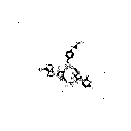 CC(C)OC(=O)Oc1ccc(CSP2(=O)OC[C@H]3O[C@@H](n4ccc(=O)[nH]c4=O)[C@H](OP(=O)(O)OC[C@H]4O[C@@H](n5cnc6c(N)ncnc65)[C@H](F)C4O2)[C@@H]3F)cc1